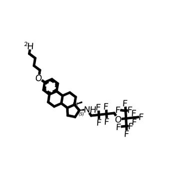 [2H]CCCCOc1ccc2c(c1)CCC1C2CC[C@@]2(C)C1CC[C@@H]2NCC(F)(F)C(F)(F)COC(C(F)(F)F)(C(F)(F)F)C(F)(F)F